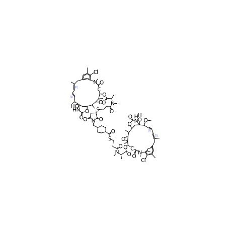 COC1/C=C/C=C(\C)Cc2cc(C)c(Cl)c(c2)N(C)C(=O)CC(OC(=O)C(C)N(C)C(=O)CCSC(=O)C2CCC(CN3C(=O)CC(SCCC(=O)N(C)C(C)C(=O)OC4CC(=O)N(C)c5cc(cc(C)c5Cl)C/C(C)=C/C=C/C(C)C5(O)CC(OC(=O)N5)C(C)C5OC45C)C3=O)CC2)C2(C)OC2C(C)C2CC1(O)NC(=O)O2